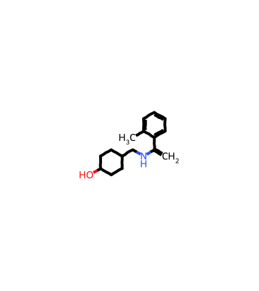 C=C(NCC1CCC(O)CC1)c1ccccc1C